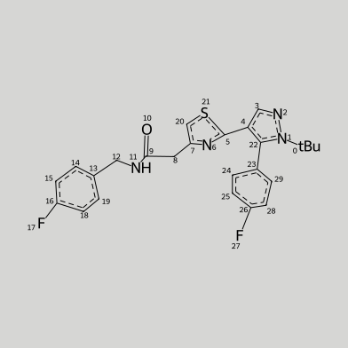 CC(C)(C)n1ncc(-c2nc(CC(=O)NCc3ccc(F)cc3)cs2)c1-c1ccc(F)cc1